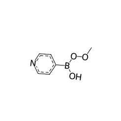 COOB(O)c1ccncc1